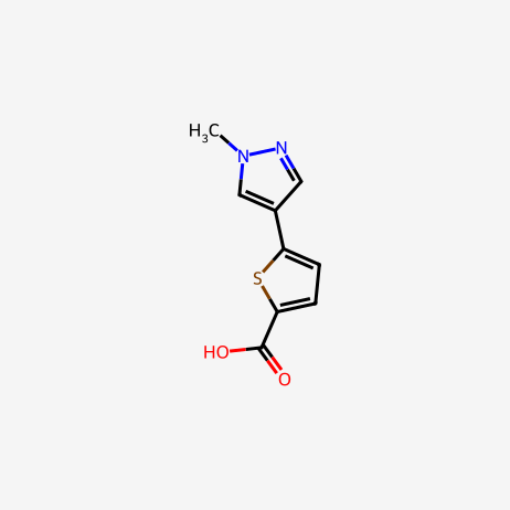 Cn1cc(-c2ccc(C(=O)O)s2)cn1